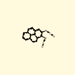 O=C=Nc1cc2ccc3cccc4ccc(c1N=C=O)c2c34